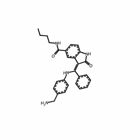 CCCCNC(=O)c1ccc2c(c1)C(=C(Nc1ccc(CN)cc1)c1ccccc1)C(=O)N2